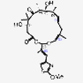 COc1nc(/C=C(\C)[C@@H]2C/C=C(/C)C/C=C/[C@H](C)[C@H](O)[C@@H](C)C(=O)C(C)(C)[C@@H](O)CC(=O)O2)cs1